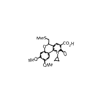 COc1cc2c(cc1OC)-c1c(cc(C(=O)O)c(=O)n1C1CC1)C(CSC)O2